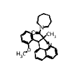 COc1ccccc1C(c1cccc2ccccc12)C(C)(C#N)C(=O)N1CCCCCC1